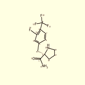 NC(=O)[C@]1([CH]c2ccc(C(F)(F)F)c(F)c2)CCCN1